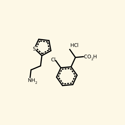 CC(C(=O)O)c1ccccc1Cl.Cl.NCCc1cccs1